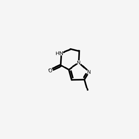 Cc1cc2n(n1)CCNC2=O